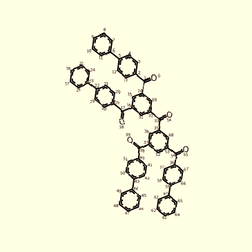 O=C(c1ccc(-c2ccccc2)cc1)c1cc(C(=O)c2ccc(-c3ccccc3)cc2)cc(C(=O)c2cc(C(=O)c3ccc(-c4ccccc4)cc3)cc(C(=O)c3ccc(-c4ccccc4)cc3)c2)c1